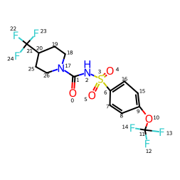 O=C(NS(=O)(=O)c1ccc(OC(F)(F)F)cc1)N1CCC(C(F)(F)F)CC1